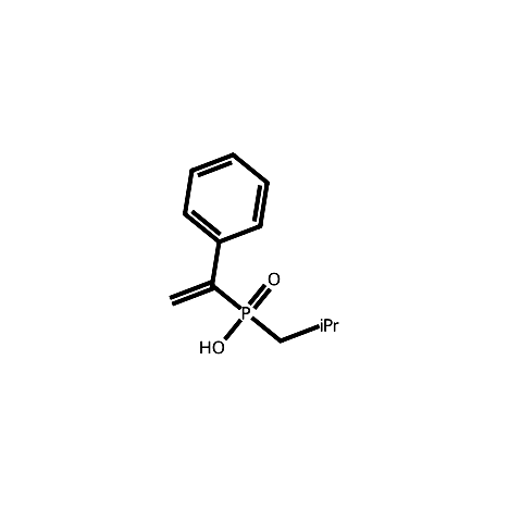 C=C(c1ccccc1)P(=O)(O)CC(C)C